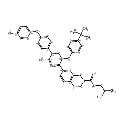 CC(C)COC(=O)N1CCc2ccc(C(=O)N(CC(C(=O)O)c3ccc(Oc4ccc(Cl)cc4)cc3)Oc3ccc(C(C)(C)C)cc3)cc2C1